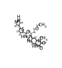 CCOCCCn1c(NC(=O)c2ccc(-c3cn[nH]c3)s2)nc2cc3[nH]c(=O)c(=O)n(C)c3cc21